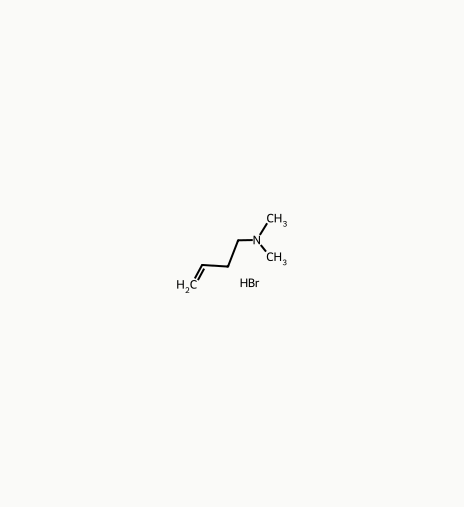 Br.C=CCCN(C)C